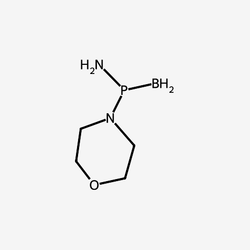 BP(N)N1CCOCC1